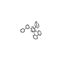 C1=CC2C3C=CC1C(c1nc(-c4cccc(-c5ccccc5)c4)nc(-c4ccccc4-c4ccccc4)n1)=CC23